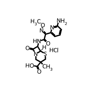 CON=C(C(=O)NC1C(=O)N2CC(C)(C(=O)O)CS[C@H]12)c1cccc(N)n1.Cl